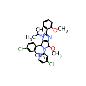 COc1ccccc1-c1nc2c(n1C(C)C)C(c1ccc(Cl)cc1C)N(c1cc(Cl)ccn1)C2OC